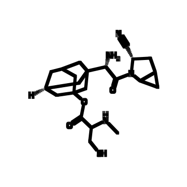 CNC(CS)C(=O)OC12CC3C[C@H](C1)CC([C@H](N)C(=O)N1C4CC4C[C@H]1C#N)(C3)C2